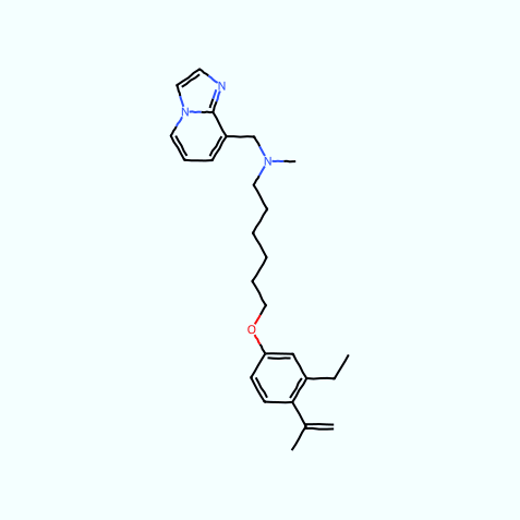 C=C(C)c1ccc(OCCCCCCN(C)Cc2cccn3ccnc23)cc1CC